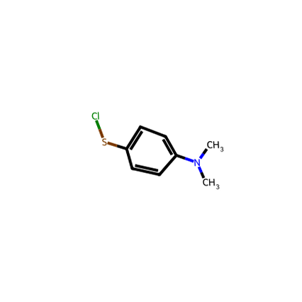 CN(C)c1ccc(SCl)cc1